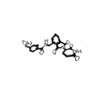 O=C1CCC(N2C(=O)c3cccc(CNC(=O)c4ccc(CO)cc4)c3C2=O)C(=O)N1